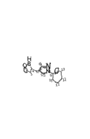 B1OOCC1c1cnn(C2CCCCO2)c1